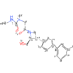 CCCNC(=O)N(CC)CC(=O)N1C[C@H](c2ccc(-c3cccc(C)c3)cc2)[C@H]1CO